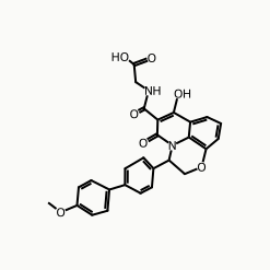 COc1ccc(-c2ccc(C3COc4cccc5c(O)c(C(=O)NCC(=O)O)c(=O)n3c45)cc2)cc1